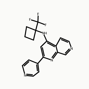 FC(F)(F)C1(Nc2cc(-c3ccncc3)nc3cnccc23)CCC1